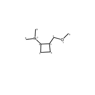 COCC1CCC1N(C)C